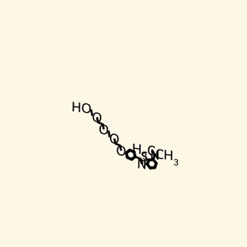 CN(C)c1cccc2nc(-c3ccc(OCCOCCOCCOCCO)cc3)sc12